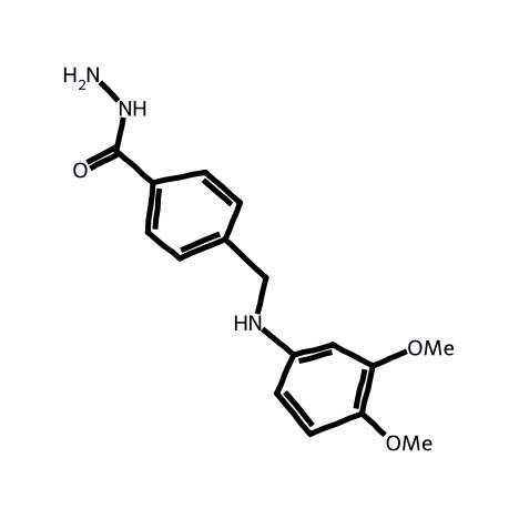 COc1ccc(NCc2ccc(C(=O)NN)cc2)cc1OC